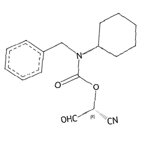 N#C[C@H](C=O)OC(=O)N(Cc1ccccc1)C1CCCCC1